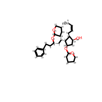 CCCC/C=C\C[C@@H]1[C@@H](CC[C@H](CCc2ccccc2)OC2CCCCO2)[C@H](OC2CCCCO2)C[C@@H]1O